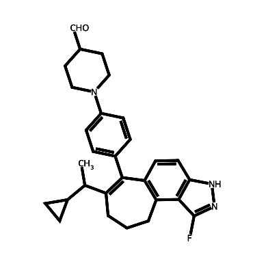 CC(C1=C(c2ccc(N3CCC(C=O)CC3)cc2)c2ccc3[nH]nc(F)c3c2CCC1)C1CC1